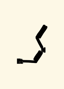 C=C/N=C\CC